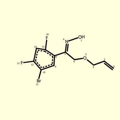 C=CCOCC(=NO)c1cc(Br)c(F)cc1F